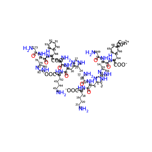 Cc1[nH]cnc1C[C@H](NC(=O)[C@H](C)N)C(=O)N[C@@H](CCCCN)C(=O)[O-].Cc1[nH]cnc1C[C@H](NC(=O)[C@H](C)N)C(=O)N[C@@H](CCCCN)C(=O)[O-].NCC(=O)N[C@@H](Cc1c[nH]cn1)C(=O)N[C@@H](Cc1ccccc1)C(=O)[O-].NCC(=O)N[C@@H](Cc1c[nH]cn1)C(=O)N[C@@H](Cc1ccccc1)C(=O)[O-].[Cu+2].[Cu+2]